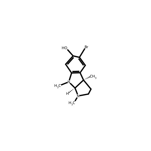 CN1CC[C@]2(C)c3cc(Br)c(O)cc3N(C)[C@H]12